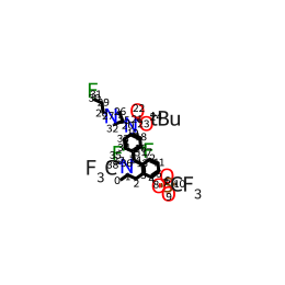 CC1Cc2cc(OS(=O)(=O)C(F)(F)F)ccc2C(c2c(F)cc(N(C(=O)OC(C)(C)C)C3CN(CCCF)C3)cc2F)N1CC(F)(F)F